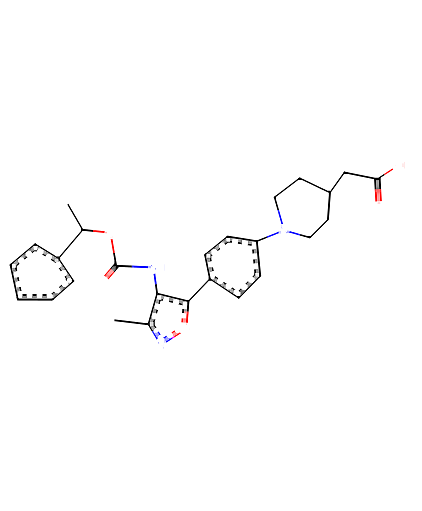 Cc1noc(-c2ccc(N3CCC(CC(=O)O)CC3)cc2)c1NC(=O)OC(C)c1ccccc1